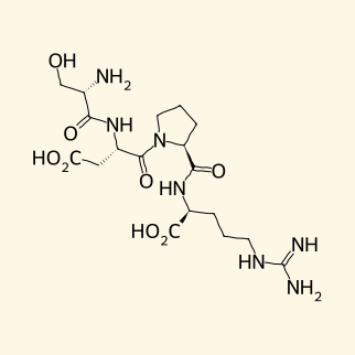 N=C(N)NCCC[C@H](NC(=O)[C@@H]1CCCN1C(=O)[C@H](CC(=O)O)NC(=O)[C@@H](N)CO)C(=O)O